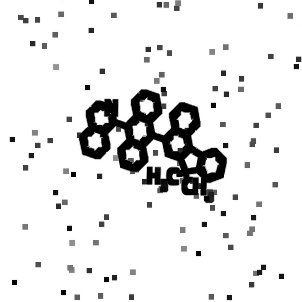 CC1(C)c2ccccc2-c2c1cc(-c1c3ccccc3c(-c3nccc4ccccc34)c3ccccc13)c1ccccc21